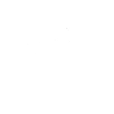 O=S1(=O)CCCC1.c1ccc(CC2CC2)cc1